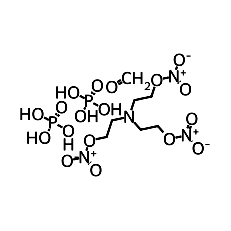 C=O.O=P(O)(O)O.O=P(O)(O)O.O=[N+]([O-])OCCN(CCO[N+](=O)[O-])CCO[N+](=O)[O-]